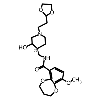 COc1ccc(C(=O)NC[C@@H]2CCN(CCC3OCCO3)CC2O)c2c1OCCCO2